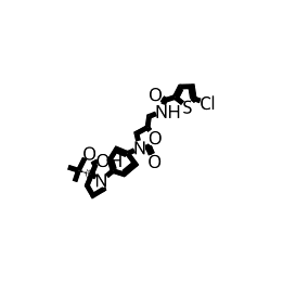 CC(C)(C)[C@@]1(C(=O)O)CCCN1c1ccc(N2CC(CNC(=O)c3ccc(Cl)s3)OC2=O)cc1